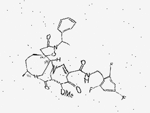 COc1c2n(cc(C(=O)NCc3c(F)cc(F)cc3F)c1=O)[C@@H]1CN(C2=O)[C@@H](C)CC[C@]12CC(=O)N(C(C)c1ccccc1)O2